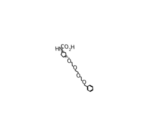 O=C(O)N[C@@H]1CC[C@@H](COCCOCCOCCOCc2ccccc2)C1